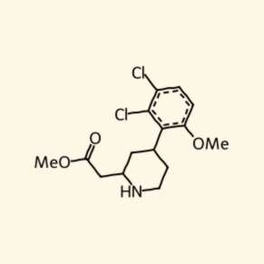 COC(=O)CC1CC(c2c(OC)ccc(Cl)c2Cl)CCN1